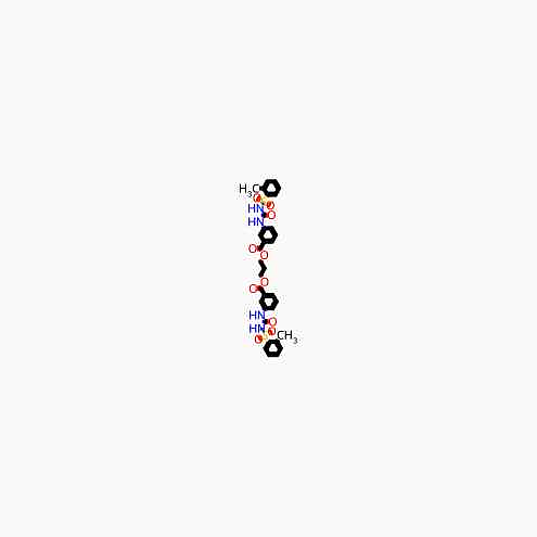 Cc1ccccc1S(=O)(=O)NC(=O)Nc1cccc(C(=O)OCCCOC(=O)c2cccc(NC(=O)NS(=O)(=O)c3ccccc3C)c2)c1